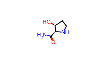 NC(=O)[C@@H]1NCC[C@@H]1O